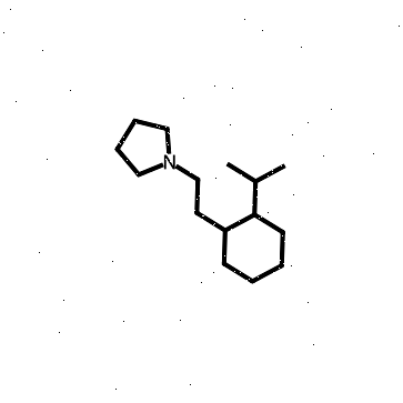 CC(C)C1CCCCC1CCN1CCCC1